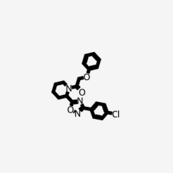 O=C(COc1ccccc1)N1CCCCC1c1nc(-c2ccc(Cl)cc2)no1